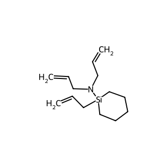 C=CCN(CC=C)[Si]1(CC=C)CCCCC1